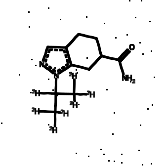 [2H]C([2H])([2H])C([2H])(n1ncc2c1CC(C(N)=O)CC2)C([2H])([2H])[2H]